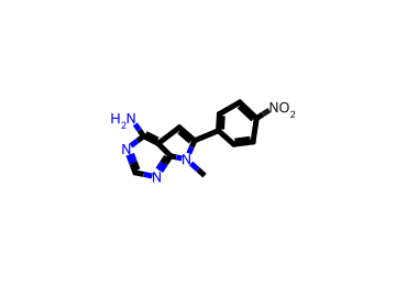 Cn1c(-c2ccc([N+](=O)[O-])cc2)cc2c(N)ncnc21